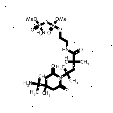 COP(N)(=O)OP(=O)(OC)OCCNC(=O)C(C)(C)CC(C)(C)N1C(=O)CC(C)(C(C)(C)N)CC1=O